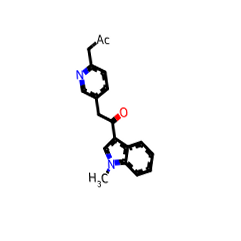 CC(=O)Cc1ccc(CC(=O)c2cn(C)c3ccccc23)cn1